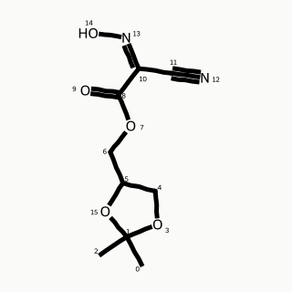 CC1(C)OCC(COC(=O)/C(C#N)=N\O)O1